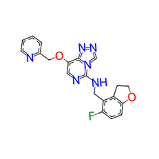 Fc1ccc2c(c1CNc1ncc(OCc3ccccn3)c3nncn13)CCO2